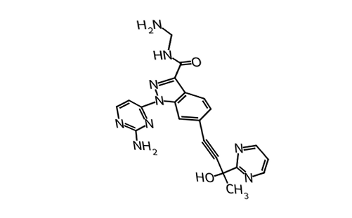 CC(O)(C#Cc1ccc2c(C(=O)NCN)nn(-c3ccnc(N)n3)c2c1)c1ncccn1